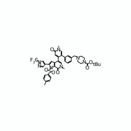 Cc1ccc(S(=O)(=O)n2c(-c3cnn(C(F)(F)F)c3)cc3c(-c4cc(=O)n(C)cc4-c4cccc(CN5CCN(C(=O)OC(C)(C)C)CC5)c4)cn(C)c(=O)c32)cc1